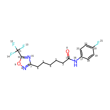 O=C(CCCCCc1noc(C(F)(F)F)n1)Nc1ccc(F)cc1